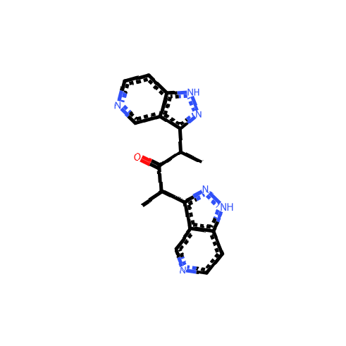 CC(C(=O)C(C)c1n[nH]c2ccncc12)c1n[nH]c2ccncc12